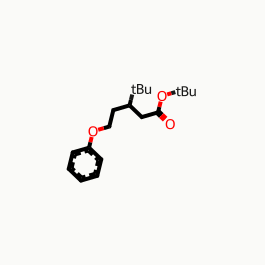 CC(C)(C)OC(=O)CC(CCOc1ccccc1)C(C)(C)C